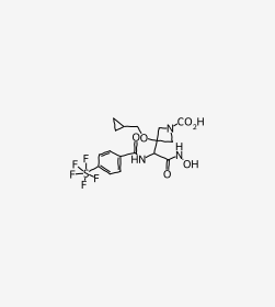 O=C(NC(C(=O)NO)C1(OCC2CC2)CN(C(=O)O)C1)c1ccc(S(F)(F)(F)(F)F)cc1